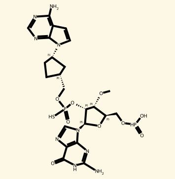 CO[C@H]1[C@@H](OP(=O)(S)OC[C@@H]2CC[C@H](n3ccc4c(N)ncnc43)C2)[C@H](n2cnc3c(=O)[nH]c(N)nc32)O[C@@H]1CO[PH](=O)O